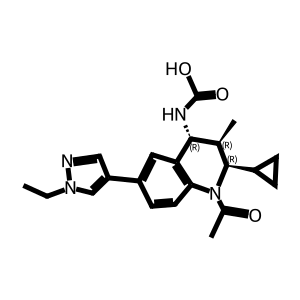 CCn1cc(-c2ccc3c(c2)[C@H](NC(=O)O)[C@@H](C)[C@@H](C2CC2)N3C(C)=O)cn1